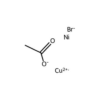 CC(=O)[O-].[Br-].[Cu+2].[Ni]